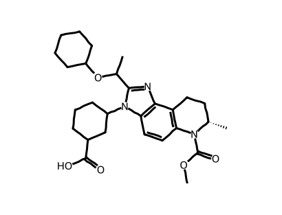 COC(=O)N1c2ccc3c(nc(C(C)OC4CCCCC4)n3C3CCCC(C(=O)O)C3)c2CC[C@@H]1C